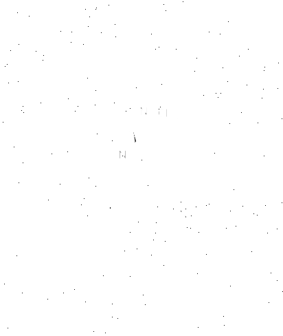 CN1CCC[C@@H]1CN1C=CC2=CC=C(c3cccnc3)CC21